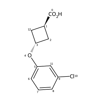 O=C(O)[C@H]1C[C@H](Oc2cccc(Cl)c2)C1